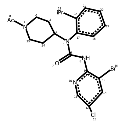 CC(=O)N1CCC(N(C(=O)Nc2ncc(Cl)cc2Br)c2ccccc2C(C)C)CC1